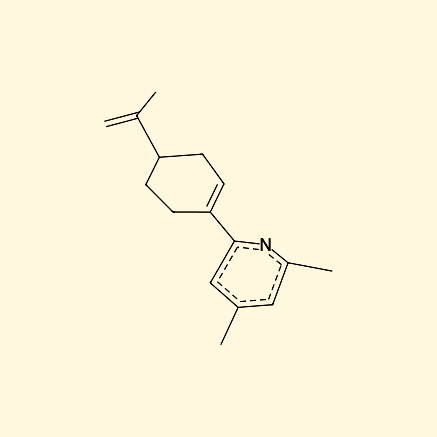 C=C(C)C1CC=C(c2cc(C)cc(C)n2)CC1